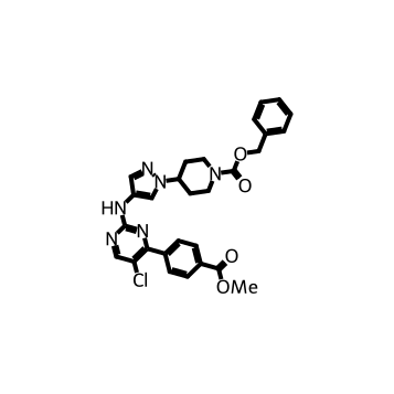 COC(=O)c1ccc(-c2nc(Nc3cnn(C4CCN(C(=O)OCc5ccccc5)CC4)c3)ncc2Cl)cc1